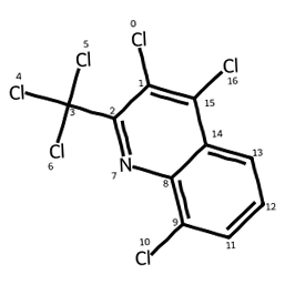 Clc1c(C(Cl)(Cl)Cl)nc2c(Cl)cccc2c1Cl